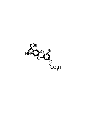 CCCCc1c[nH]c2ccc(Oc3c(Cl)cc(OCC(=O)O)cc3Br)cc12